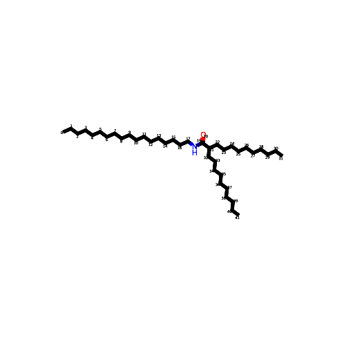 CCCCCCCCCCCCCCCCCCNC(=O)C(CCCCCCCCCC)CCCCCCCCCC